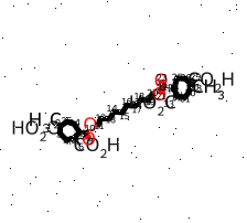 CC1(C(=O)O)CC[C@H](C(=O)O)[C@H](C(=O)OCCCCCCCCCCOC(=O)[C@@H]2CCC(C)(C(=O)O)CC[C@@H]2C(=O)O)CC1